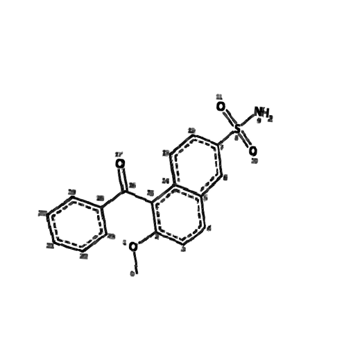 COc1ccc2cc(S(N)(=O)=O)ccc2c1C(=O)c1ccccc1